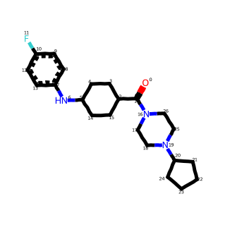 O=C(C1CCC(Nc2ccc(F)cc2)CC1)N1CCN(C2CCCC2)CC1